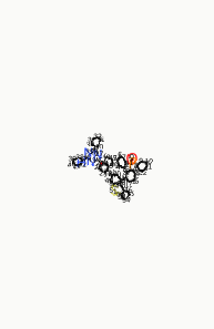 O=P(c1ccccc1)(c1ccccc1)c1cccc(-c2cc(-c3ccc(C4=NC(c5ccccc5)=NC(c5ccccc5)N4)c4c3C=CC4)cc3sc4ccccc4c23)c1